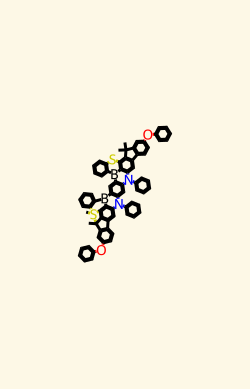 CC1(C)c2cc(Oc3ccccc3)ccc2-c2cc3c4c(c21)Sc1ccccc1B4c1cc2c(cc1N3c1ccccc1)N(c1ccccc1)c1cc3c4c5c1B2c1ccccc1S5(C)C4(C)c1cc(Oc2ccccc2)ccc1-3